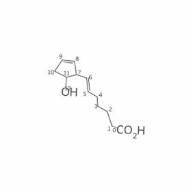 O=C(O)CCCCC=CC1C=CCC1O